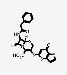 O=C(Cc1ccccc1)NC1C(=O)N2C(C(=O)O)=C(Sc3cc(=O)c4sccc4s3)CS[C@@H]12